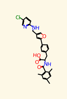 Cc1cc(C)c(C(=O)NC(Cc2ccc(-c3cc(CNc4ccc(Cl)cn4)co3)cc2)C(=O)O)c(C)c1